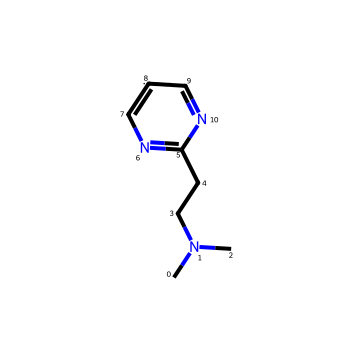 CN(C)CCc1nc[c]cn1